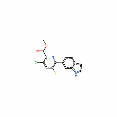 COC(=O)c1nc(-c2ccc3cc[nH]c3c2)c(F)cc1Cl